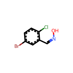 O/N=C\c1cc(Br)ccc1Cl